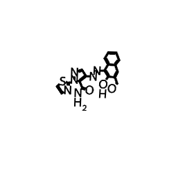 NC(=O)c1c(/N=N/c2c(O)c(C=O)cc3ccccc23)cnn1-c1nccs1